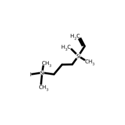 C=C[Si](C)(C)CCC[Si](C)(C)I